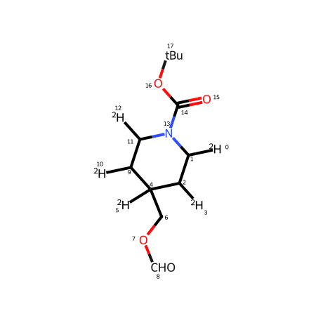 [2H]C1C([2H])C([2H])(COC=O)C([2H])C([2H])N1C(=O)OC(C)(C)C